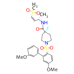 COc1cccc(-c2cc(OC)ccc2S(=O)(=O)N2CCC(F)(C(=O)N[C@@H](C)/C=C\S(C)(=O)=O)CC2)c1